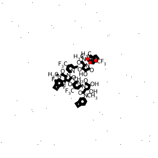 Cc1cc(C(F)(F)F)cc(N2C(=O)C(O)C(OCc3cc(C(F)(F)F)cc(N4C(=O)C(Oc5c(C(F)(F)F)cc(N6C(=O)C(O)C(O)C6C(=O)N(C)c6ccc7c(c6)CC7)nc5C)C(O)C4C(=O)N(C)c4cc(F)c5c(c4F)CC5)n3)C2C(=O)N(C)c2cc3n(n2)CCC3)n1